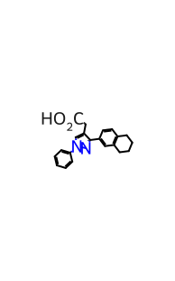 O=C(O)Cc1cn(-c2ccccc2)nc1-c1ccc2c(c1)CCCC2